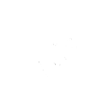 CC(C)(C)c1cn(C2CC2(F)F)nn1